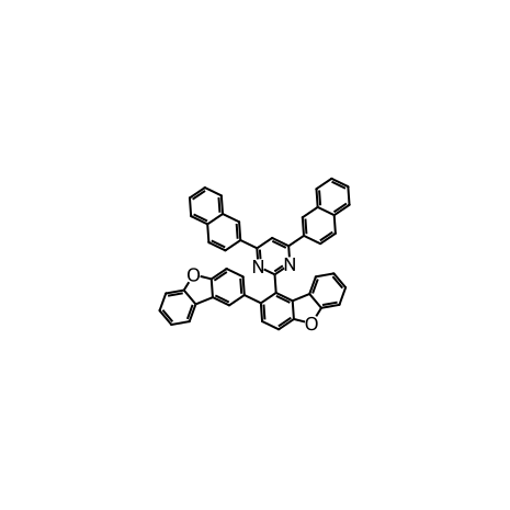 c1ccc2cc(-c3cc(-c4ccc5ccccc5c4)nc(-c4c(-c5ccc6oc7ccccc7c6c5)ccc5oc6ccccc6c45)n3)ccc2c1